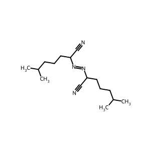 CC(C)CCCC(C#N)N=NC(C#N)CCCC(C)C